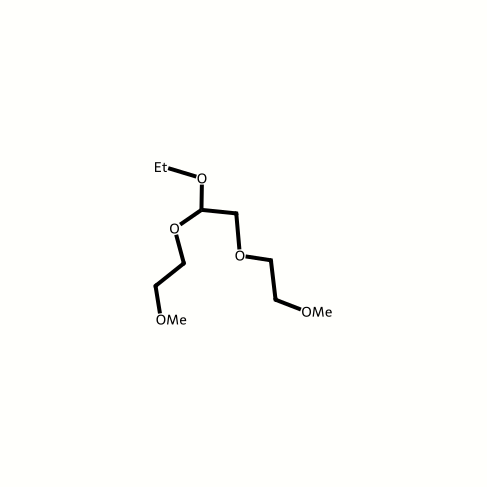 CCOC(COCCOC)OCCOC